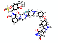 CCOc1cc([C@@H](CS(C)(=O)=O)N2C(=O)c3cccc(N4CCN([C@H]5CCN(Cc6ccc(Oc7ccc8c([C@@]9(C)CCC(=O)NC9=O)nn(C)c8c7)cc6)CC5(F)F)CC4)c3C2=O)ccc1OC